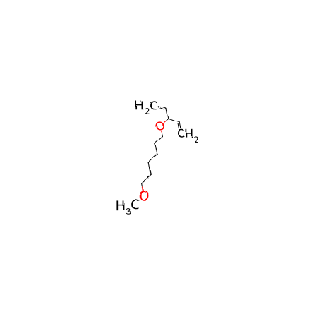 C=CC(C=C)OCCCCCCOC